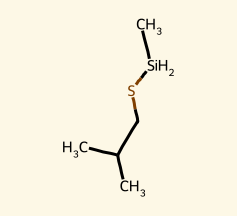 C[SiH2]SCC(C)C